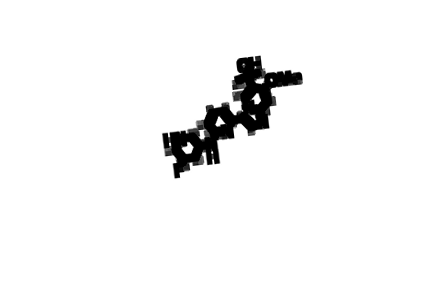 COc1cc2ncc(-c3cccc(NC4CNCC(F)C4)n3)n2cc1C(C)(C)O